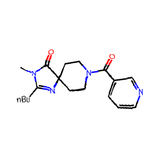 CCCCC1=NC2(CCN(C(=O)c3cccnc3)CC2)C(=O)N1C